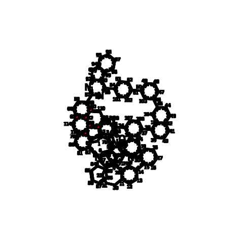 CCC1C(n2c3ccc4c5c6c(ccc7c8ccccc8n(c8cccc2c8c53)c76)CCC4)=C(c2ccc(-c3cccc4ccc(-c5cccc(-c6ccc(-c7nc(-c8cccc(-n9c%10ccc%11oc%12ccc%13c%14c%12c%11c%10c%10c9cccc%10n%14C9C=CC=CC%139)c8)nc8sc9ccccc9c78)cc6)c5)cc34)cc2)N=C2C=Cc3ccccc3C21